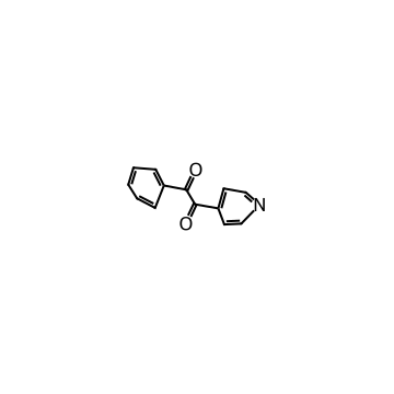 O=C(C(=O)c1ccncc1)c1ccccc1